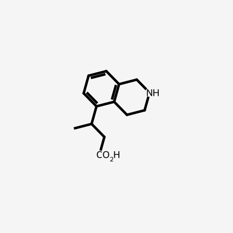 CC(CC(=O)O)c1cccc2c1CCNC2